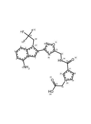 Nc1cccc2c1cc(-c1noc(CNC(=O)c3ccn(CC(=O)O)c3)n1)n2CC(F)(F)F